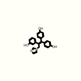 Oc1ccc(C(=C(Cn2ccnc2)c2cccc(O)c2)c2ccc(O)cc2)cc1